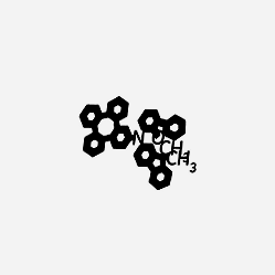 CC1(C)c2ccccc2-c2ccc(N(c3ccc4c(c3)-c3ccccc3-c3ccccc3-c3ccccc3-4)c3cccc4c3oc3ccccc34)cc21